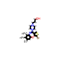 CCCc1c(CC)cc2c(c1CCC)N=C(N1CCN(CCCO)CC1)c1csc(Br)c1O2